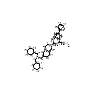 Nc1nc(N2CCN3CC(CN(CC4CCCCC4)CC4CCCCC4)CCC3C2)nc2nc(-c3ccco3)nn12